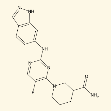 NC(=O)C1CCCN(c2nc(Nc3ccc4cn[nH]c4c3)ncc2F)C1